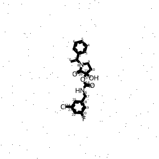 CC(c1ccccc1)N1CCC(O)(OC(=O)NCc2cc(F)cc(Cl)c2)C1=O